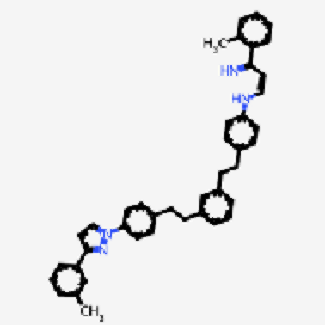 Cc1cccc(-c2ccn(-c3ccc(CCc4cccc(CCc5ccc(N/C=C\C(=N)c6ccccc6C)cc5)c4)cc3)n2)c1